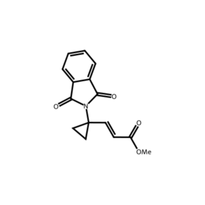 COC(=O)/C=C/C1(N2C(=O)c3ccccc3C2=O)CC1